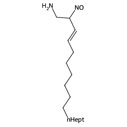 CCCCCCCCCCCCC/C=C/C(CN)N=O